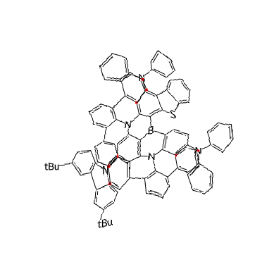 CC(C)(C)c1ccc2c(c1)c1cc(C(C)(C)C)ccc1n2-c1cc2c3c(c1)N(c1c(-c4ccccc4)cccc1-c1ccccc1)c1cc(N(c4ccccc4)c4ccccc4)c4c(sc5ccccc54)c1B3c1ccc(N(c3ccccc3)c3ccccc3)cc1N2c1c(-c2ccccc2)cccc1-c1ccccc1